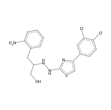 O=[N+]([O-])c1ccccc1CC(CO)NNc1nc(-c2ccc(Cl)c(Cl)c2)cs1